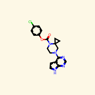 O=C(Oc1ccc(Cl)cc1)N1CCN(c2ncnc3[nH]ccc23)CC12CC2